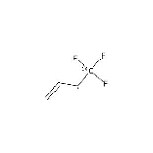 C=C[CH][14C](F)(F)F